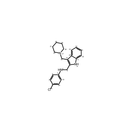 Clc1ccc(NCc2[nH]c3ccccc3c2CN2CCCCC2)cc1